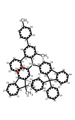 Cc1ccc(-c2cc(C)c(N(c3ccc4c(c3)C(C)(C)c3ccccc3-4)c3ccc4c(c3)C(c3ccccc3)(c3ccccc3)c3ccccc3-4)c(-c3ccccc3)c2)cc1